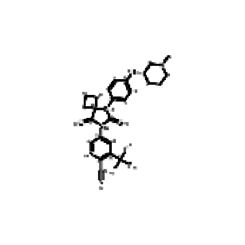 CN1CCC[C@H](Oc2ccc(N3C(=S)N(c4cnc(C#N)c(C(F)(F)F)c4)C(=O)C34CCC4)cc2)C1